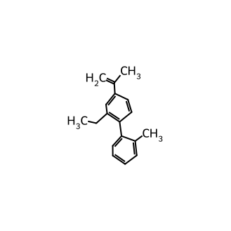 C=C(C)c1ccc(-c2ccccc2C)c(CC)c1